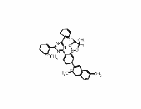 Cc1ccc2c(c1)C=C(C1C=C(B3OC(C)C(C)(I)O3)C(c3nc(C4=CC=CCC4)nc(C4=CCCC[C@@H]4C)n3)=CC1)[C@H](C)C2